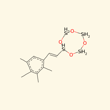 Cc1cc(/C=C/[SiH]2O[SiH2]O[SiH2]O[SiH2]O2)c(C)c(C)c1C